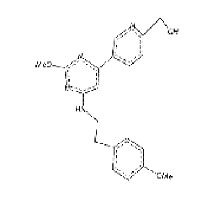 COc1ccc(CCNc2cc(-c3ccc(CO)nc3)nc(OC)n2)cc1